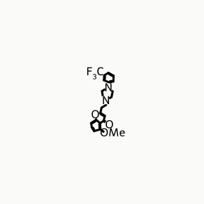 COc1cccc2oc(CCN3CCN(c4cccc(C(F)(F)F)c4)CC3)cc(=O)c12